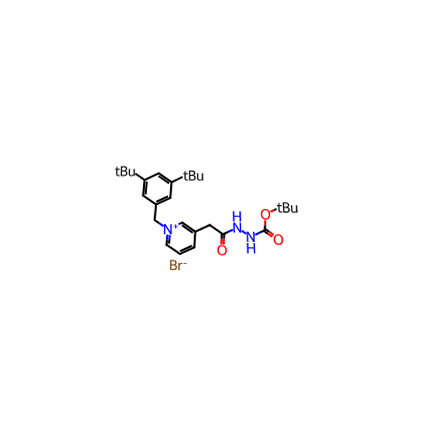 CC(C)(C)OC(=O)NNC(=O)Cc1ccc[n+](Cc2cc(C(C)(C)C)cc(C(C)(C)C)c2)c1.[Br-]